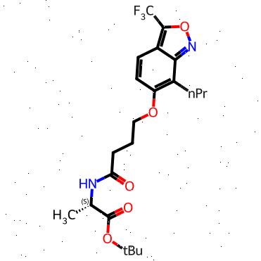 CCCc1c(OCCCC(=O)N[C@@H](C)C(=O)OC(C)(C)C)ccc2c(C(F)(F)F)onc12